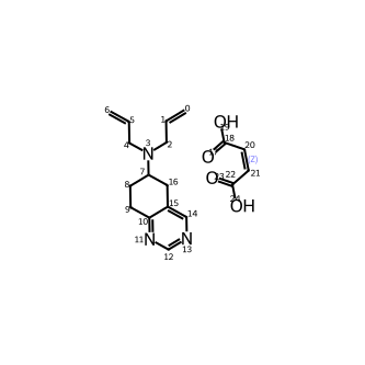 C=CCN(CC=C)C1CCc2ncncc2C1.O=C(O)/C=C\C(=O)O